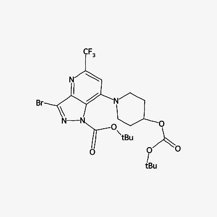 CC(C)(C)OC(=O)OC1CCN(c2cc(C(F)(F)F)nc3c(Br)nn(C(=O)OC(C)(C)C)c23)CC1